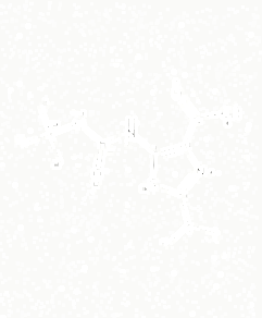 CC(C)c1nc(C(=O)O)c(NC(=O)OC(C)(C)C)s1